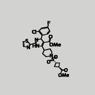 COC(=O)C1=C(C2CCN(S(=O)(=O)[C@H]3C[C@H](C(=O)OC)C3)CC2)NC(c2nccs2)=NC1c1ccc(F)cc1Cl